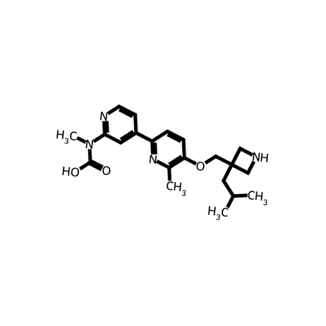 Cc1nc(-c2ccnc(N(C)C(=O)O)c2)ccc1OCC1(CC(C)C)CNC1